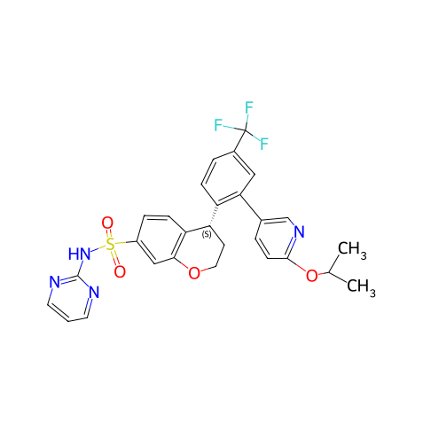 CC(C)Oc1ccc(-c2cc(C(F)(F)F)ccc2[C@@H]2CCOc3cc(S(=O)(=O)Nc4ncccn4)ccc32)cn1